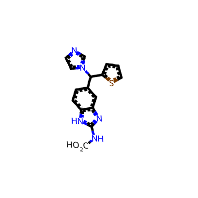 O=C(O)Nc1nc2cc(C(c3cccs3)n3ccnc3)ccc2[nH]1